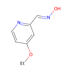 CCOc1ccnc(/C=N/O)c1